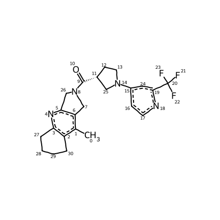 Cc1c2c(nc3c1CN(C(=O)[C@@H]1CCN(c4ccnc(C(F)(F)F)c4)C1)C3)CCCC2